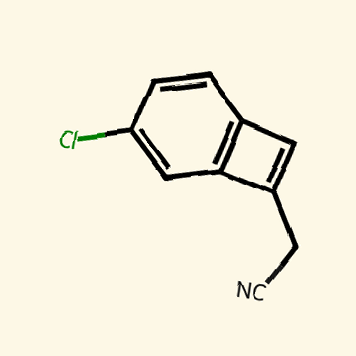 N#CCC1=Cc2ccc(Cl)cc21